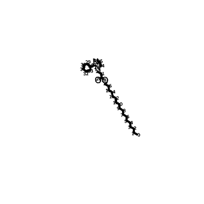 CCCCCCCCCCCCCCCCCCOC(=O)CCn1ccnc1-c1ccccc1